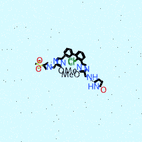 COc1nc(-c2cccc(-c3cccc(-c4cnc(CN5CC(S(C)(=O)=O)C5)c(OC)n4)c3Cl)c2Cl)cnc1CNC[C@@H]1CCC(=O)N1